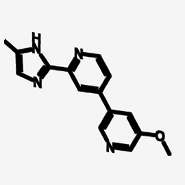 COc1cncc(-c2ccnc(-c3ncc(C)[nH]3)c2)c1